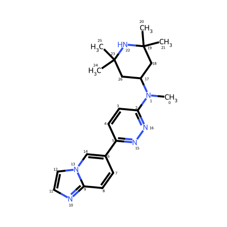 CN(c1ccc(-c2ccc3nccn3c2)nn1)C1CC(C)(C)NC(C)(C)C1